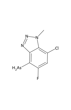 Cn1nnc2c([AsH2])c(F)cc(Cl)c21